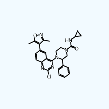 Cc1noc(C)c1-c1ccc2nc(Cl)nc(N3CCN(C(=O)NC4CC4)CC3c3ccccc3)c2c1